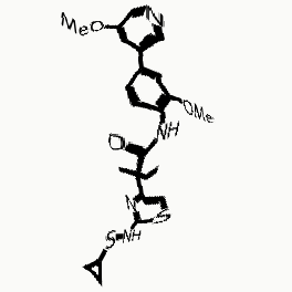 COc1cncc(-c2ccc(NC(=O)C(C)(C)c3csc(NSC4CC4)n3)c(OC)c2)c1